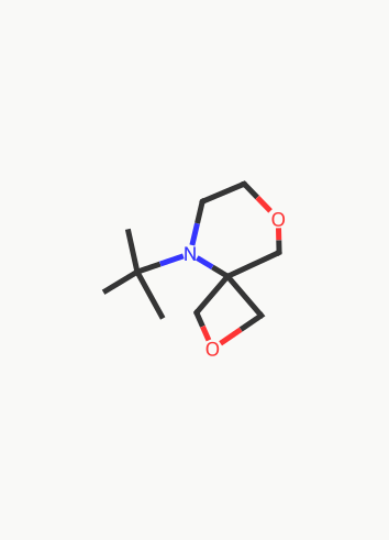 CC(C)(C)N1CCOCC12COC2